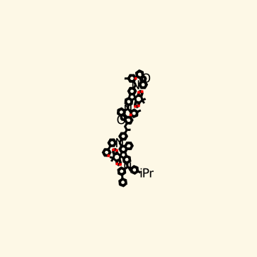 Cc1cccc(N(c2ccc3c(c2)C2(c4cc(N(c5cccc(C)c5)c5cccc6oc7c(CC(C)c8ccc(N(c9cccc(-c%10ccccc%10)c9)c9cc%10c(c%11ccccc9%11)-c9ccc(N(c%11ccc(C(C)C)cc%11)c%11cccc(-c%12ccccc%12)c%11)cc9C%109c%10ccccc%10C(C)(C)c%10ccccc%109)cc8)cccc7c56)ccc4-3)c3ccccc3C(C)(C)c3ccccc32)c2cccc3oc4ccccc4c23)c1